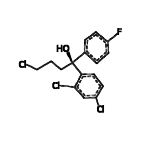 O[C@@](CCCCl)(c1ccc(F)cc1)c1ccc(Cl)cc1Cl